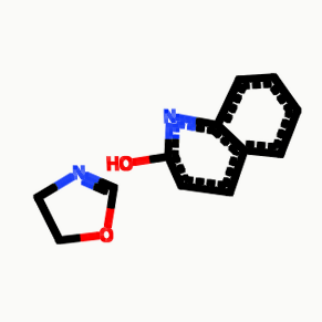 C1=NCCO1.Oc1ccc2ccccc2n1